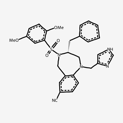 COc1ccc(OC)c(S(=O)(=O)N2Cc3cc(C#N)ccc3N(Cc3c[nH]cn3)C[C@H]2Cc2ccccc2)c1